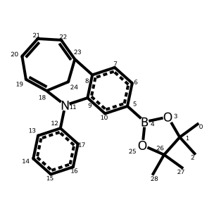 CC1(C)OB(c2ccc3c(c2)N(c2ccccc2)C2=CC=CC=C3C2)OC1(C)C